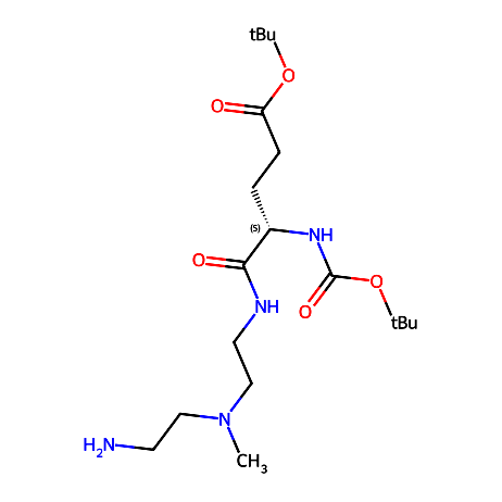 CN(CCN)CCNC(=O)[C@H](CCC(=O)OC(C)(C)C)NC(=O)OC(C)(C)C